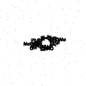 C=C/C(=C(\N=C/C)[C@H](C)OC)c1c2c3cc(ccc3n1CC)-c1csc(n1)C[C@H](NC(=O)[C@H](C(C)C)N(C)C(=O)N(C)C1(COC)COC1)C(=O)N1CCC[C@](C=O)(COCC(C)(C)C2)N1